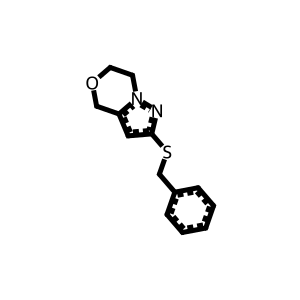 c1ccc(CSc2cc3n(n2)CCOC3)cc1